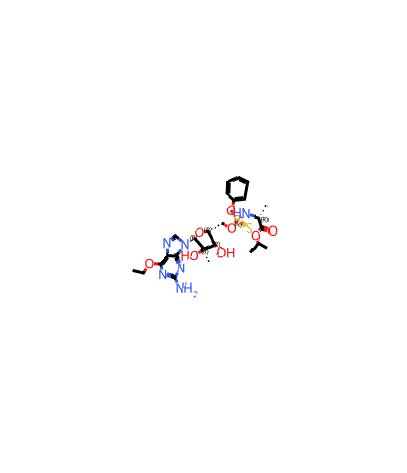 CCOc1nc(N)nc2c1ncn2[C@@H]1O[C@H](CO[P@](=S)(N[C@H](C)C(=O)OC(C)C)Oc2ccccc2)[C@@H](O)[C@@]1(C)O